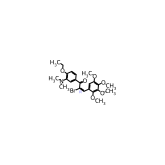 CCOc1ccc(C(=O)/C(Br)=C\c2cc(OC)c(OC)c(OC)c2OC)cc1N(C)C